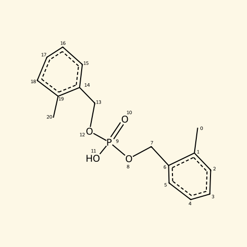 Cc1ccccc1COP(=O)(O)OCc1ccccc1C